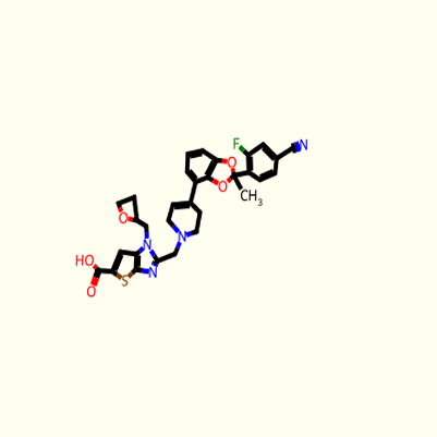 CC1(c2ccc(C#N)cc2F)Oc2cccc(C3=CCN(Cc4nc5sc(C(=O)O)cc5n4CC4CCO4)CC3)c2O1